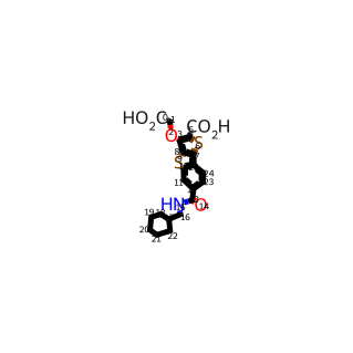 O=C(O)COc1c(C(=O)O)sc2c1sc1cc(C(=O)NCC3CCCCC3)ccc12